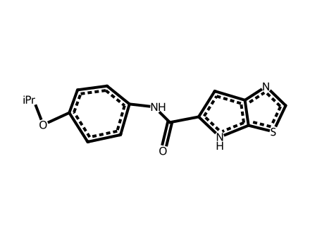 CC(C)Oc1ccc(NC(=O)c2cc3ncsc3[nH]2)cc1